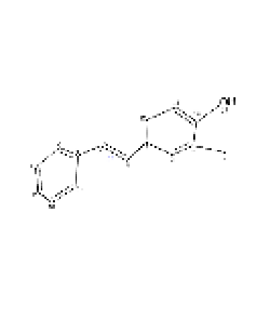 CC1=CC(/C=C/c2ccccc2)CC=C1O